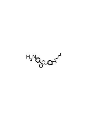 CCCCCC(C)c1ccc(COC(=O)c2ccc(N)cc2)cc1